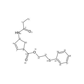 CCC(=O)NC1C=CC(C(=O)OCCSc2ccccc2)C1